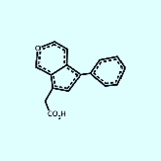 O=C(O)Cc1cc(-c2ccccc2)c2ccocc1-2